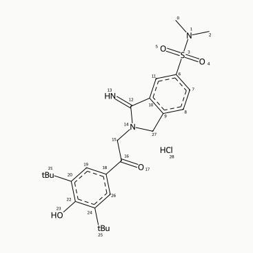 CN(C)S(=O)(=O)c1ccc2c(c1)C(=N)N(CC(=O)c1cc(C(C)(C)C)c(O)c(C(C)(C)C)c1)C2.Cl